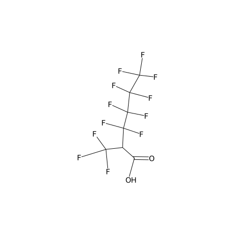 O=C(O)C(C(F)(F)F)C(F)(F)C(F)(F)C(F)(F)C(F)(F)F